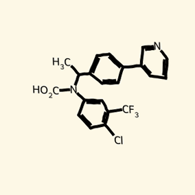 CC(c1ccc(-c2cccnc2)cc1)N(C(=O)O)c1ccc(Cl)c(C(F)(F)F)c1